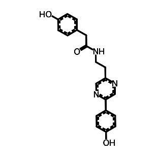 O=C(Cc1ccc(O)cc1)NCCc1cnc(-c2ccc(O)cc2)cn1